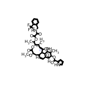 CO[C@H]1C[C@H]2C=CC3C4[C@H](O)[C@@H](C)[C@@H](OC(=O)c5ccc[nH]5)[C@@H]3O[C@]42/C(C)=C/[C@@H](C)[C@@H]([C@@H](C)OC(=O)C(=O)NCc2ccccc2C(F)(F)F)OC1=O